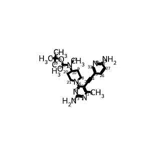 Cc1nc(N)nc(N2CCC(N(C)C(=O)OC(C)(C)C)CC2)c1C#Cc1ccc(N)nc1